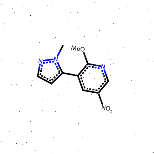 COc1ncc([N+](=O)[O-])cc1-c1ccnn1C